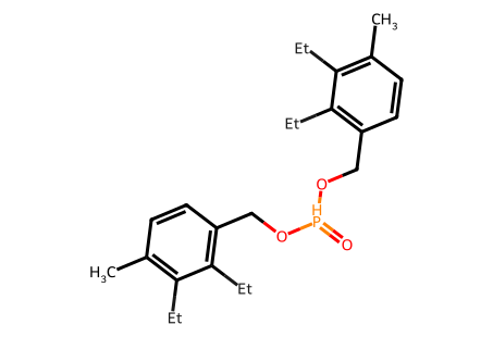 CCc1c(C)ccc(CO[PH](=O)OCc2ccc(C)c(CC)c2CC)c1CC